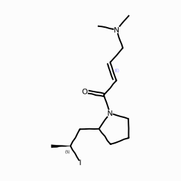 C[C@H](I)CC1CCCN1C(=O)/C=C/CN(C)C